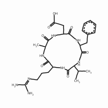 CC1NC(=O)C(CCCN=C(N)N)NC(=O)C(C(C)C)NC(=O)C(Cc2ccccc2)NC(=O)C(CC(=O)O)NC1=O